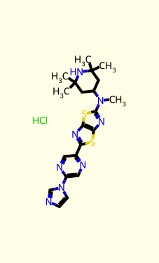 CN(c1nc2sc(-c3cnc(-n4ccnc4)cn3)nc2s1)C1CC(C)(C)NC(C)(C)C1.Cl